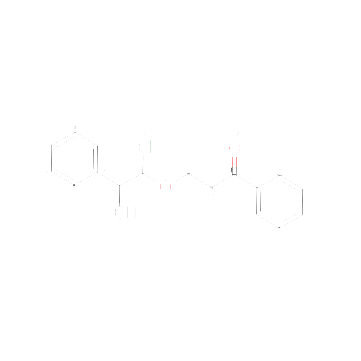 CC(c1ccccc1)C(Cl)OCCC(=O)c1ccccc1